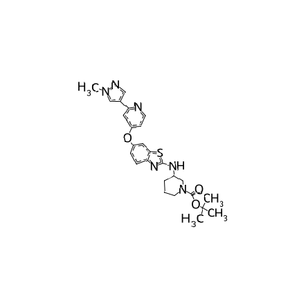 Cn1cc(-c2cc(Oc3ccc4nc(NC5CCCN(C(=O)OC(C)(C)C)C5)sc4c3)ccn2)cn1